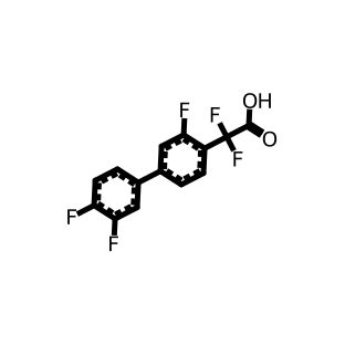 O=C(O)C(F)(F)c1ccc(-c2ccc(F)c(F)c2)cc1F